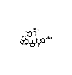 Cc1cc(C(=N)N)ccc1Nc1nc(-c2cccc(NC(=O)c3ccc(C(C)(C)C)cc3)c2C)cn2ccnc12